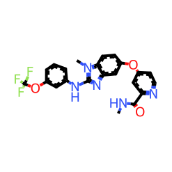 CNC(=O)c1cc(Oc2ccc3c(c2)nc(Nc2cccc(OC(F)(F)F)c2)n3C)ccn1